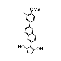 COc1ccc(-c2ccc3cc(C4=C(O)CCC4O)ccc3c2)cc1C